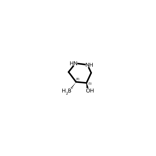 B[C@@H]1CNNC[C@H]1O